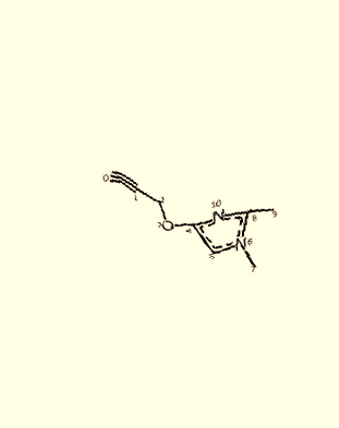 C#CCOc1cn(C)c(C)n1